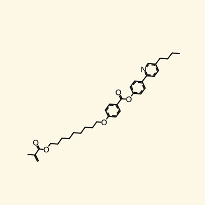 C=C(C)C(=O)OCCCCCCCCCOc1ccc(C(=O)Oc2ccc(-c3ccc(CCCC)cn3)cc2)cc1